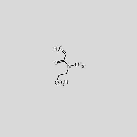 C=CC(=O)N(C)CCC(=O)O